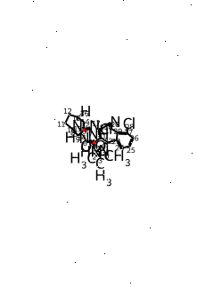 CC(C)(C)OC(=O)N[C@@H]1C[C@H]2CC[C@@H](C1)N2c1nc(C#N)c2c(-c3cccc(Cl)c3Cl)n[nH]c2n1